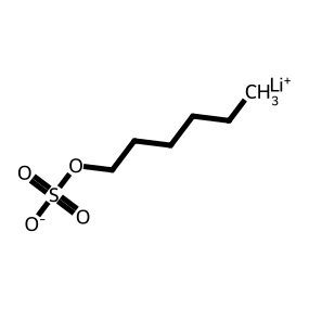 CCCCCCOS(=O)(=O)[O-].[Li+]